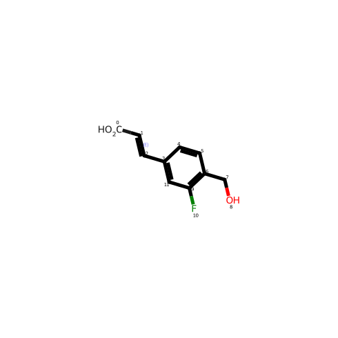 O=C(O)/C=C/c1ccc(CO)c(F)c1